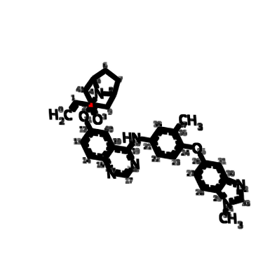 C=CC(=O)N1C2CCC1CC(Oc1ccc3ncnc(Nc4ccc(Oc5ccc6c(c5)ncn6C)c(C)c4)c3c1)C2